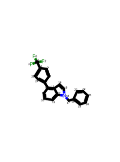 FC(F)(F)c1ccc(-c2cccc3c2ccn3Cc2ccccc2)cc1